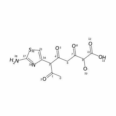 CC(=O)C(C(=O)CC(=O)C([O])C(=O)O)c1csc(N)n1